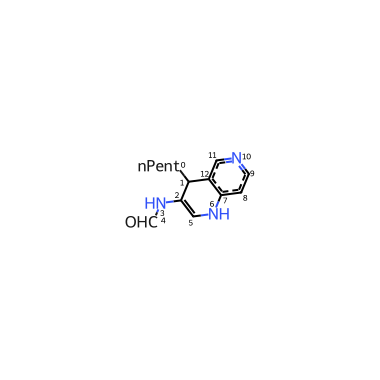 CCCCCC1C(NC=O)=CNc2ccncc21